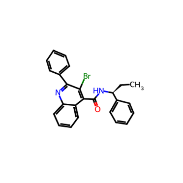 CC[C@H](NC(=O)c1c(Br)c(-c2ccccc2)nc2ccccc12)c1ccccc1